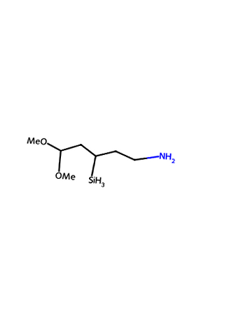 COC(CC([SiH3])CCN)OC